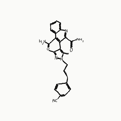 Cc1nn(CCCc2ccc(C#N)cc2)c(C)c1-c1c(C(N)=O)nc2ccccc2c1C(N)=O